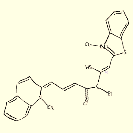 CCN(C(=O)C=CC=C1C=Cc2ccccc2N1CC)/C(S)=C/c1sc2ccccc2[n+]1CC